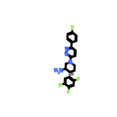 NC1CN(c2ccc(-c3ccc(F)cc3)nn2)CC[C@@H]1c1cc(F)c(F)cc1F